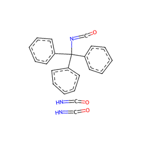 N=C=O.N=C=O.O=C=NC(c1ccccc1)(c1ccccc1)c1ccccc1